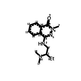 CCC(CNc1nn(C)c(=O)c2ccccc12)N(C)C